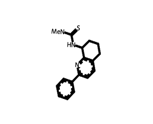 CNC(=S)NC1CCCc2ccc(-c3ccccc3)nc21